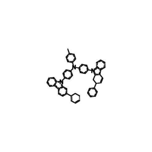 Cc1ccc(N(c2ccc(-n3c4c(c5ccccc53)C=CC(c3ccccc3)C4)cc2)c2ccc(-n3c4ccccc4c4ccc(C5=CC=CCC5)cc43)cc2)cc1